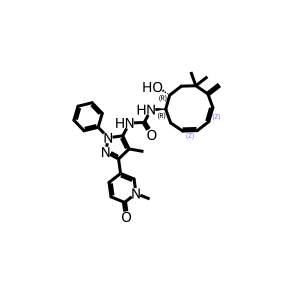 C=C1/C=C\C=C/C[C@@H](NC(=O)Nc2c(C)c(-c3ccc(=O)n(C)c3)nn2-c2ccccc2)[C@H](O)CC1(C)C